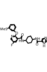 CSc1cccc(Oc2ncc(F)cc2C(=O)NC2CCC(NC(=O)c3cnc[nH]3)CC2)c1